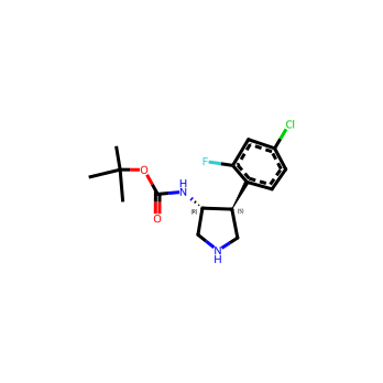 CC(C)(C)OC(=O)N[C@H]1CNC[C@@H]1c1ccc(Cl)cc1F